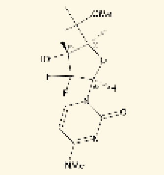 [2H][C@@]1(n2ccc(NC)nc2=O)O[C@](C)(C(C)(C)OC)[C@@](C)(O)C1(F)F